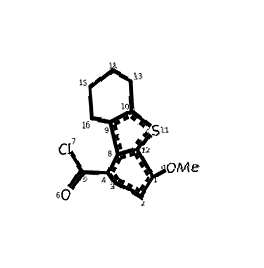 COc1ccc(C(=O)Cl)c2c3c(sc12)CCCC3